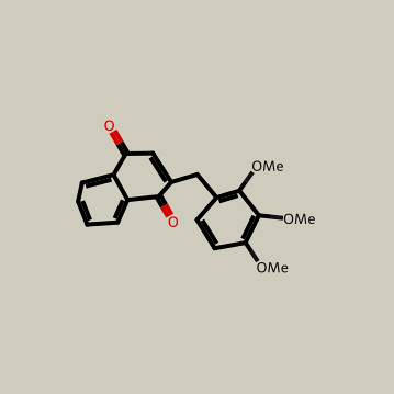 COc1ccc(CC2=CC(=O)c3ccccc3C2=O)c(OC)c1OC